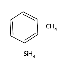 C.[SiH4].c1ccccc1